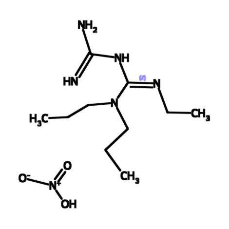 CCCN(CCC)/C(=N\CC)NC(=N)N.O=[N+]([O-])O